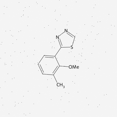 COc1c(C)cccc1-c1nncs1